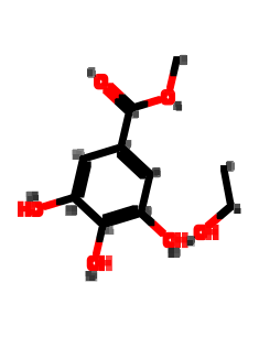 CCO.COC(=O)c1cc(O)c(O)c(O)c1